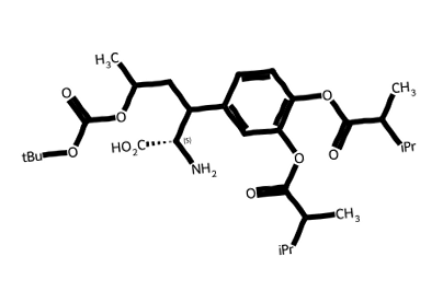 CC(CC(c1ccc(OC(=O)C(C)C(C)C)c(OC(=O)C(C)C(C)C)c1)[C@H](N)C(=O)O)OC(=O)OC(C)(C)C